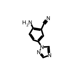 N#Cc1cc(-n2cncn2)ccc1N